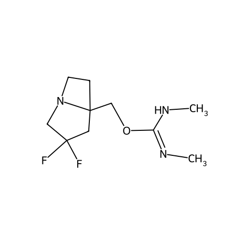 C/N=C(\NC)OCC12CCN1CC(F)(F)C2